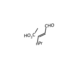 CC(=O)O.CCCC=CC=O